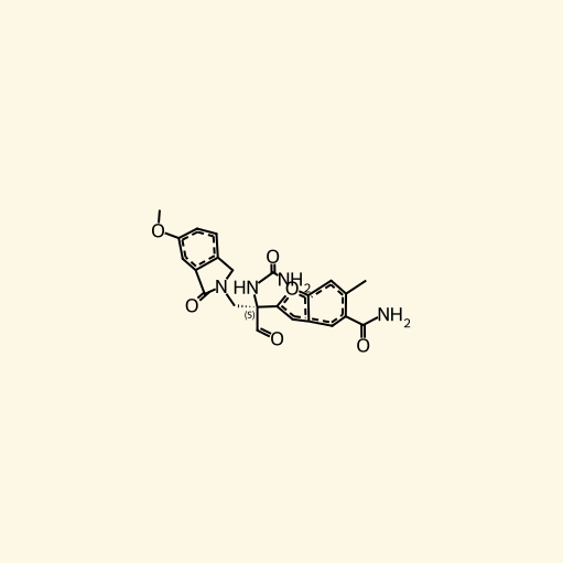 COc1ccc2c(c1)C(=O)N(C[C@](C=O)(NC(N)=O)c1cc3cc(C(N)=O)c(C)cc3o1)C2